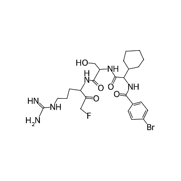 N=C(N)NCCCC(NC(=O)C(CO)NC(=O)C(NC(=O)c1ccc(Br)cc1)C1CCCCC1)C(=O)CF